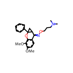 COc1ccc2c(c1OC)OC1(c3ccccc3)CC1C2=NOCCCN(C)C